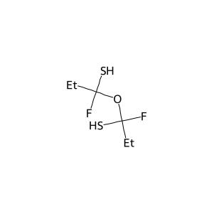 CCC(F)(S)OC(F)(S)CC